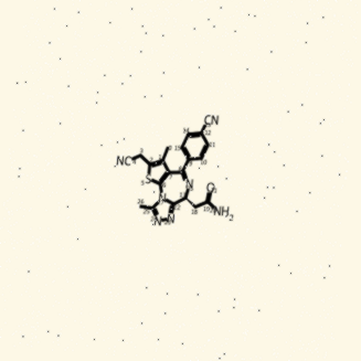 Cc1c(CC#N)sc2c1C(c1ccc(C#N)cc1)=N[C@@H](CC(N)=O)c1nnc(C)n1-2